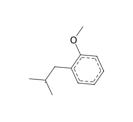 COc1ccccc1C[C](C)C